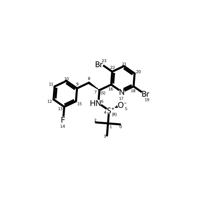 CC(C)(C)[S@+]([O-])N[C@@H](Cc1cccc(F)c1)c1nc(Br)ccc1Br